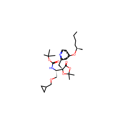 CCCC[C@@H](C)Oc1ccnc(C[C@]2([C@H](COCC3CC3)NC(=O)OC(C)(C)C)OC(C)(C)OC2=O)c1